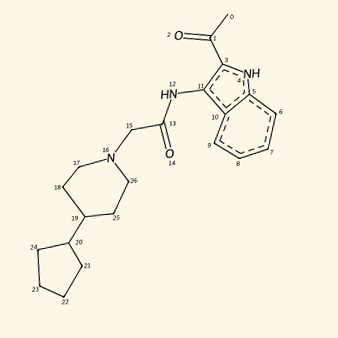 CC(=O)c1[nH]c2ccccc2c1NC(=O)CN1CCC(C2CCCC2)CC1